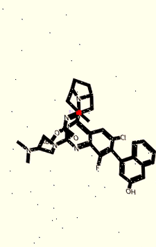 C/C(=N\C(=O)OC(C)(C)C)N1C2CCC1CN(c1nc(N3CC(N(C)C)C3)nc3c(F)c(-c4cc(O)cc5ccccc45)c(Cl)cc13)C2